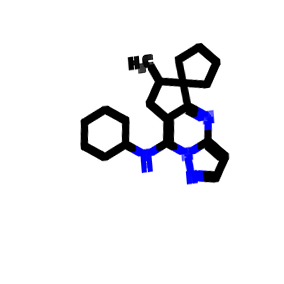 CC1Cc2c(nc3ccnn3c2NC2CCCCC2)C12CCCC2